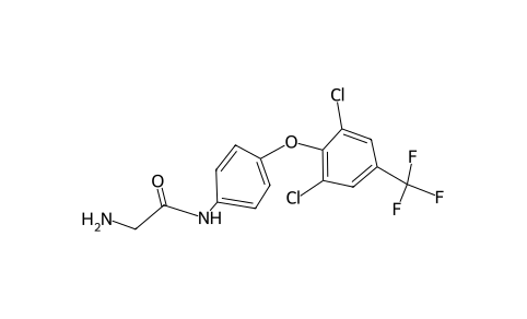 NCC(=O)Nc1ccc(Oc2c(Cl)cc(C(F)(F)F)cc2Cl)cc1